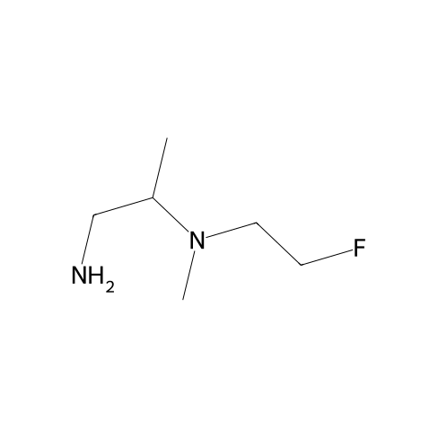 CC(CN)N(C)CCF